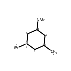 CNC1CC(C(F)(F)F)CN(C(C)C)C1